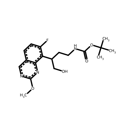 COc1ncc2ccc(F)c(C(CO)CCNC(=O)OC(C)(C)C)c2n1